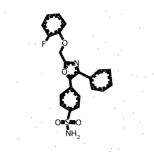 NS(=O)(=O)c1ccc(-c2oc(COc3ccccc3F)nc2-c2ccccc2)cc1